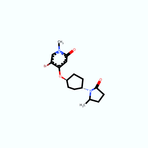 CC1CCC(=O)N1[C@H]1CC[C@H](Oc2cc(=O)n(C)cc2Br)CC1